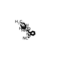 CN1C[C@H]2C[C@@H](NC(=O)c3nn(CC#N)c4ccccc34)C[C@@H](C1)N2C